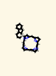 C1=Cc2cc3cc(-[si]4cccc5c4Cc4ccccc4-5)c(cc4nc(cc5ccc(cc1n2)[nH]5)C=C4)[nH]3